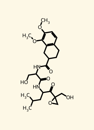 COc1ccc2c(c1OC)CC(C(=O)NC(CO)C(=O)NC(CC(C)C)C(=O)C1(CO)CO1)CC2